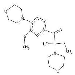 CCC(C)(C(=O)c1ccc(N2CCOCC2)c(SC)c1)N1CCOCC1